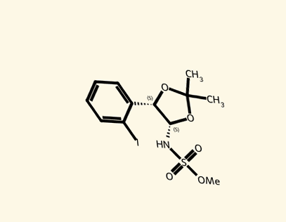 COS(=O)(=O)N[C@H]1OC(C)(C)O[C@H]1c1ccccc1I